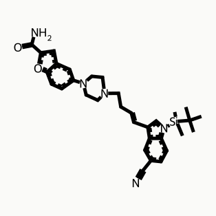 CC(C)(C)[Si](C)(C)n1cc(C=CCCN2CCN(c3ccc4oc(C(N)=O)cc4c3)CC2)c2cc(C#N)ccc21